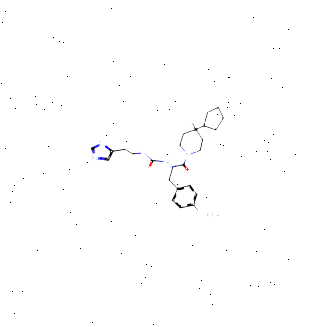 CCOC(=O)C1(C2CCCC2)CCN(C(=O)C(Cc2ccc(OC)cc2)NC(=O)NCCc2c[nH]cn2)CC1